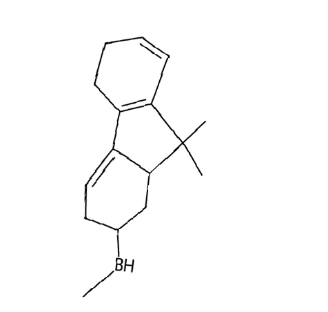 CBC1CC=C2C3=C(C=CCC3)C(C)(C)C2C1